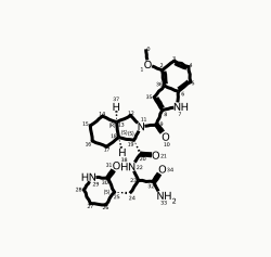 COc1cccc2[nH]c(C(=O)N3C[C@@H]4CCCC[C@@H]4[C@H]3C(=O)NC(C[C@@H]3CCCNC3=O)C(N)=O)cc12